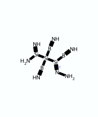 N=B/[Si](=N\N)[Si](B=N)(B=N)[Si](=N)N